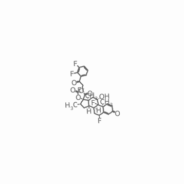 CCC(=O)O[C@]1(C(=O)OCC(=O)c2cccc(F)c2F)[C@H](C)C[C@H]2[C@@H]3C[C@H](F)C4=CC(=O)C=C[C@]4(C)[C@@]3(F)[C@@H](O)C[C@@]21C